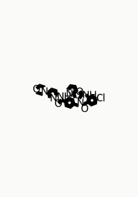 O=C(Nc1ccc(N2CCOCC2)cn1)c1ccc(CN2C(=O)c3ccc(Cl)cc3NC(=O)[C@H]2Cc2ccccn2)cc1